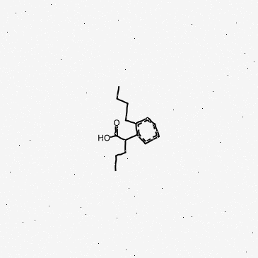 CCCCc1ccccc1C(CCC)C(=O)O